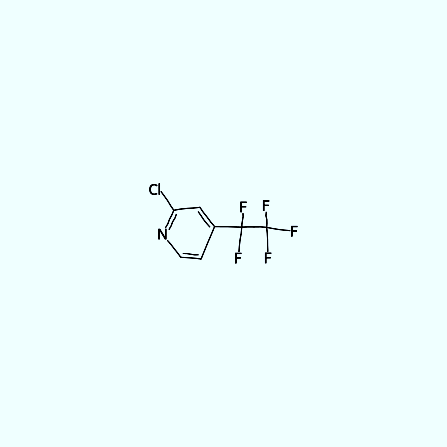 FC(F)(F)C(F)(F)c1ccnc(Cl)c1